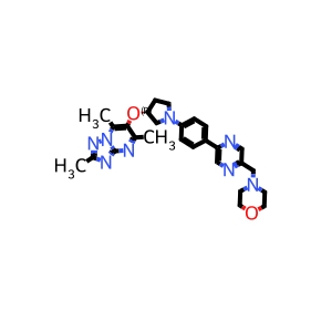 Cc1nc2nc(C)c(O[C@@H]3CCN(c4ccc(-c5cnc(CN6CCOCC6)cn5)cc4)C3)c(C)n2n1